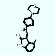 Cc1cccc2c1C(=CNc1ccc(N3CCSCC3)cc1)C(=O)N2